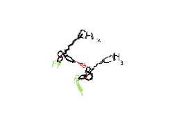 CCCCCCCCC1([C@]2(c3ccc(F)c(F)c3)C=C[C@H](COC[C@H]3C=C[C@@](c4ccc(F)c(F)c4)(C4(CCCCCCCC)CCCCC4)C=C3)C=C2)CCCCC1